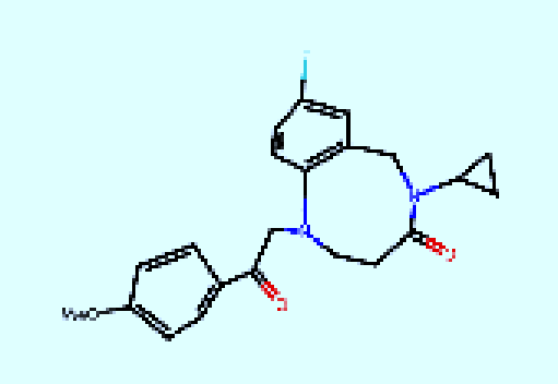 COc1ccc(C(=O)CN2CCC(=O)N(C3CC3)Cc3cc(F)ccc32)cc1